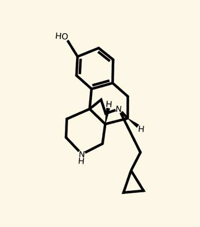 Oc1ccc2c(c1)C13CCNC[C@H]1[C@@H](C2)N(CC1CC1)CC3